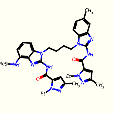 CCn1nc(C)cc1C(=O)Nc1nc2cc(C)ccc2n1CCCCn1c(NC(=O)c2cc(C)nn2CC)nc2c(NSC)cccc21